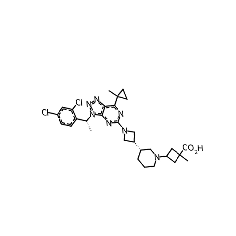 C[C@H](c1ccc(Cl)cc1Cl)n1nnc2c(C3(C)CC3)nc(N3CC([C@H]4CCCN(C5CC(C)(C(=O)O)C5)C4)C3)nc21